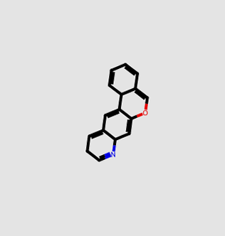 C1=CC2=COC3=CC4N=CCC=C4C=C3C2C=C1